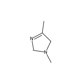 CC1=N[CH]N(C)C1